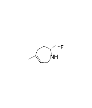 CC1=CCN[C@@H](CF)CC1